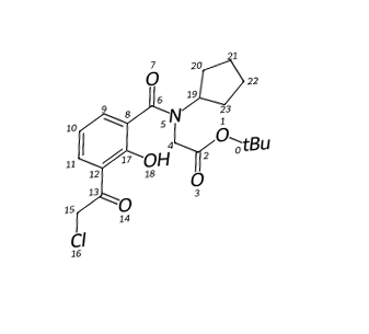 CC(C)(C)OC(=O)CN(C(=O)c1cccc(C(=O)CCl)c1O)C1CCCC1